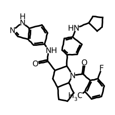 Cc1cccc(F)c1C(=O)N1C2CCCC2CC(C(=O)Nc2ccc3[nH]ncc3c2)C1c1ccc(NC2CCCC2)cc1